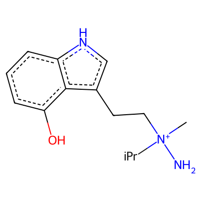 CC(C)[N+](C)(N)CCc1c[nH]c2cccc(O)c12